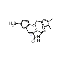 Bc1ccc(OCc2cc(C)c(C)o2)c(/C=C2\SC(=S)NC2=O)c1